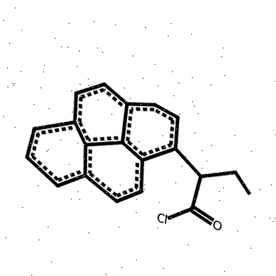 CCC(C(=O)Cl)c1ccc2ccc3cccc4ccc1c2c34